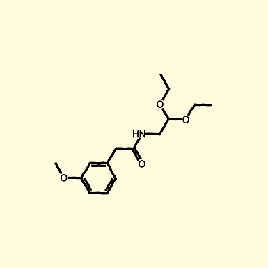 CCOC(CNC(=O)Cc1cccc(OC)c1)OCC